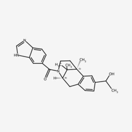 CC(O)c1ccc2c(c1)[C@]1(C)CCN(C(=O)c3ccc4nc[nH]c4c3)[C@H](C2)C1(C)C